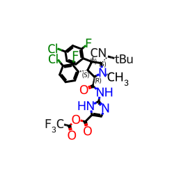 CN1[C@@H](CC(C)(C)C)[C@](C#N)(c2ccc(Cl)cc2F)[C@@H](c2cccc(Cl)c2F)[C@@H]1C(=O)Nc1ncc(C(=O)OC(=O)C(F)(F)F)[nH]1